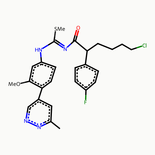 COc1cc(NC(=NC(=O)C(CCCCCl)c2ccc(F)cc2)SC)ccc1-c1cnnc(C)c1